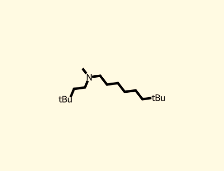 CN(CCCCCCC(C)(C)C)CCC(C)(C)C